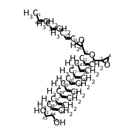 C(OCC1CO1)C1CO1.C=CC.C=CC.C=CC.C=CC.C=CC.C=CC.C=CC.C=CC.C=CC.C=CC.C=CC.OCCO